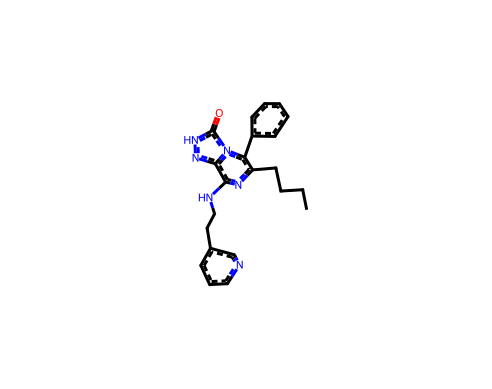 CCCCc1nc(NCCc2cccnc2)c2n[nH]c(=O)n2c1-c1ccccc1